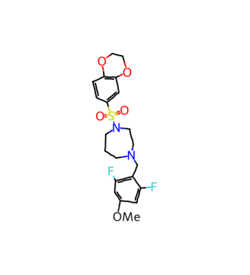 COc1cc(F)c(CN2CCCN(S(=O)(=O)c3ccc4c(c3)OCCO4)CC2)c(F)c1